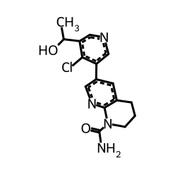 CC(O)c1cncc(-c2cnc3c(c2)CCCN3C(N)=O)c1Cl